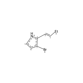 CCC=Cc1[nH]ccc1Br